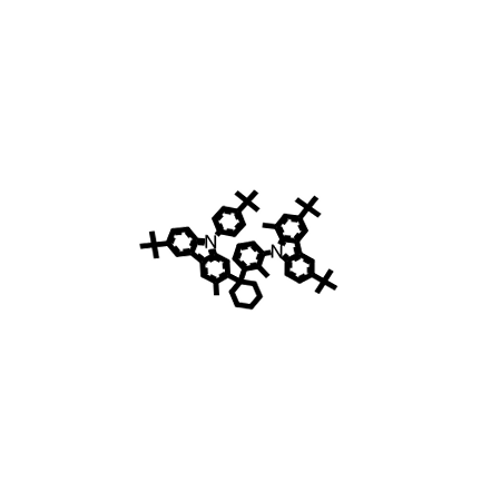 Cc1cc2c3cc(C(C)(C)C)ccc3n(-c3ccc(C(C)(C)C)cc3)c2cc1C1(c2cccc(-n3c4ccc(C(C)(C)C)cc4c4cc(C(C)(C)C)cc(C)c43)c2C)CCCCC1